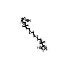 CC(C)(CCOCCOCCC(C)(C)c1nnn[nH]1)c1nnn[nH]1